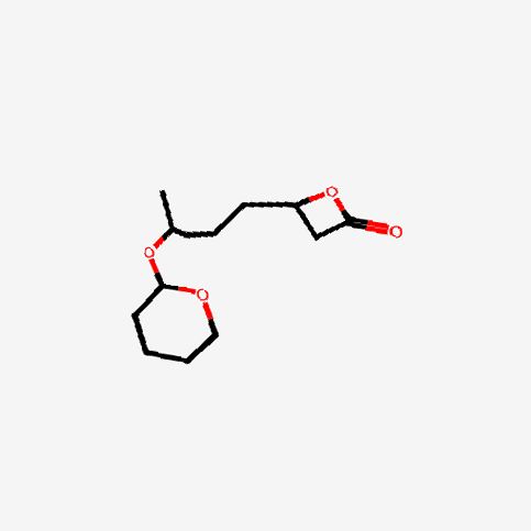 CC(CCC1CC(=O)O1)OC1CCCCO1